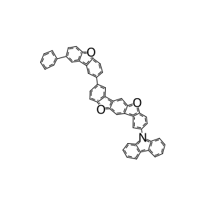 c1ccc(-c2ccc3oc4ccc(-c5ccc6oc7cc8c(cc7c6c5)oc5ccc(-n6c7ccccc7c7ccccc76)cc58)cc4c3c2)cc1